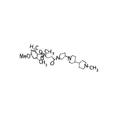 COc1cc(C)c(S(=O)(=O)N(C)CCC(=O)N2CCC(N3CCC(C4CCN(C)CC4)CC3)C2)c(C)c1